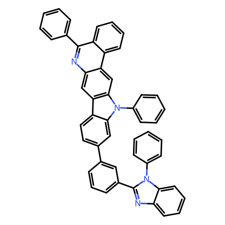 c1ccc(-c2nc3cc4c5ccc(-c6cccc(-c7nc8ccccc8n7-c7ccccc7)c6)cc5n(-c5ccccc5)c4cc3c3ccccc23)cc1